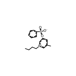 CCCC[n+]1cccc(C)c1.O=S(=O)([O-])c1ccccc1